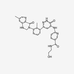 Cc1ccc2c(c1)NCN(c1cccc(-c3cc(Nc4ccc(C(=O)NCCO)cn4)c(=O)[nH]n3)c1C)C2=O